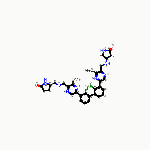 COc1nc(-c2cccc(-c3cccc(-c4cnc(CN[C@H]5CNC(=O)C5)c(OC)n4)c3Cl)c2Cl)cnc1CNC[C@H]1CCC(=O)N1